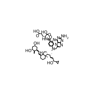 C=C1/C(=C\C=C2\CCC[C@]3(C)[C@@H]2CC[C@@H]3[C@H](C)/C=C/[C@@H](O)C2CC2)C[C@H](O)C[C@H]1O.CN(Cc1cnc2nc(N)nc(N)c2n1)c1ccc(C(=O)N[C@@H](CCC(=O)O)C(=O)O)cc1